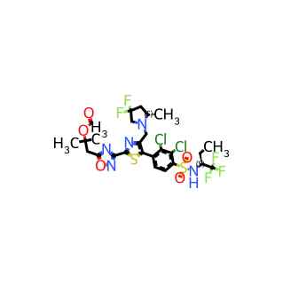 CC[C@H](NS(=O)(=O)c1ccc(-c2sc(-c3noc(CC(C)(C)OC=O)n3)nc2CN2CC(F)(F)C[C@@H]2C)c(Cl)c1Cl)C(F)(F)F